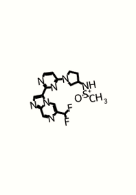 C[S+]([O-])NC1CCN(c2ccnc(-c3cnc4cnc(C(F)F)cn34)n2)C1